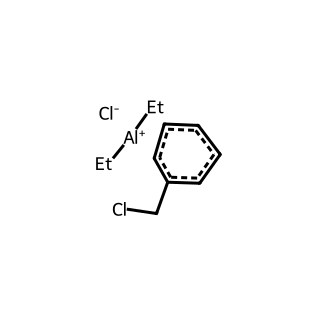 C[CH2][Al+][CH2]C.ClCc1ccccc1.[Cl-]